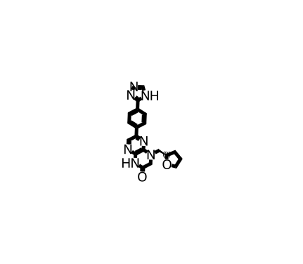 O=C1CN(C[C@H]2CCCO2)c2nc(-c3ccc(-c4nnc[nH]4)cc3)cnc2N1